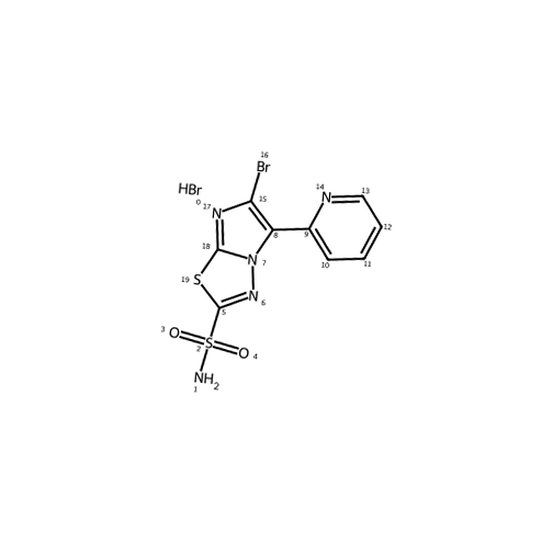 Br.NS(=O)(=O)c1nn2c(-c3ccccn3)c(Br)nc2s1